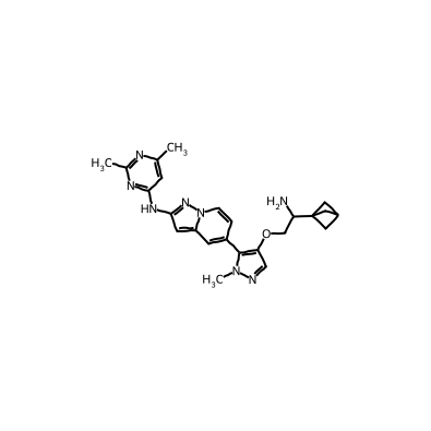 Cc1cc(Nc2cc3cc(-c4c(OCC(N)C56CC(C5)C6)cnn4C)ccn3n2)nc(C)n1